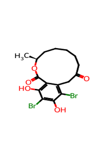 C[C@H]1CCCCCC(=O)Cc2c(Br)c(O)c(Br)c(O)c2C(=O)O1